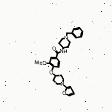 COc1cc(C(=O)NC2CCN(Cc3ccccc3)CC2)ccc1OC1CCN(c2ccco2)CC1